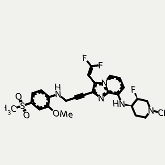 COc1cc(S(C)(=O)=O)ccc1NCC#Cc1nc2c(N[C@@H]3CCN(C)C[C@@H]3F)cccn2c1C=C(F)F